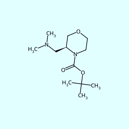 CN(C)C[C@H]1COCCN1C(=O)OC(C)(C)C